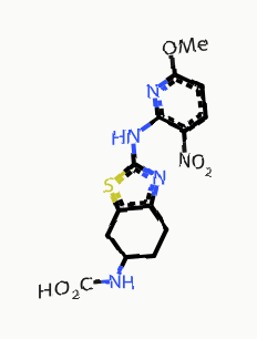 COc1ccc([N+](=O)[O-])c(Nc2nc3c(s2)CC(NC(=O)O)CC3)n1